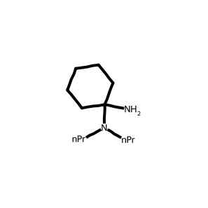 CCCN(CCC)C1(N)CCCCC1